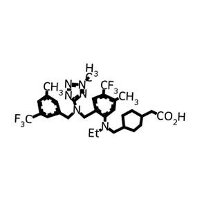 CCN(CC1CCC(CC(=O)O)CC1)c1cc(C)c(C(F)(F)F)cc1CN(Cc1cc(C)cc(C(F)(F)F)c1)c1nnn(C)n1